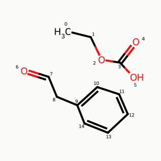 CCOC(=O)O.O=CCc1ccccc1